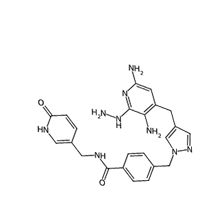 NNc1nc(N)cc(Cc2cnn(Cc3ccc(C(=O)NCc4ccc(=O)[nH]c4)cc3)c2)c1N